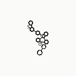 O=P1(C2=CC(C3=CC=CC=C=C3)CC=C2)c2ccccc2-c2c(n(-c3ccc(-c4ccc5sc6ccccc6c5c4)cc3)c3ccccc23)-c2ccccc21